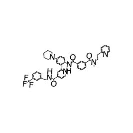 CN(CCc1ccccn1)C(=O)c1cccc(C(=O)Nc2ccc(N3CCCCC3)cc2-c2cc(C(=O)NCc3cccc(C(F)(F)F)c3)ccn2)c1